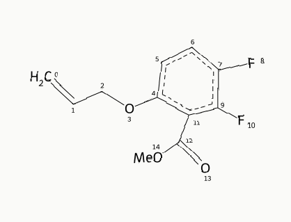 C=CCOc1ccc(F)c(F)c1C(=O)OC